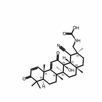 CC1(C)C(=O)C=C[C@]2(C)C3=CC(=O)[C@]4(O)[C@@H]5C(C#N)[C@@](C)(CNC(=O)O)CC[C@]5(C)CC[C@@]4(C)[C@]3(C)CC[C@@H]12